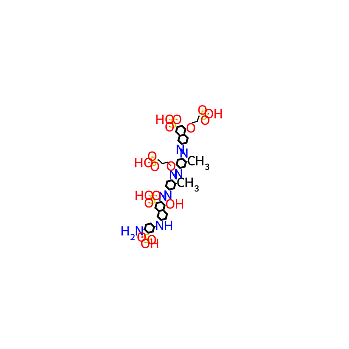 Cc1cc(N=Nc2ccc(N=Nc3c(S(=O)(=O)O)cc4cc(Nc5ccc(N)c(S(=O)(=O)O)c5)ccc4c3O)cc2C)c(OCCCS(=O)(=O)O)cc1N=Nc1ccc2c(OCCCS(=O)(=O)O)cc(S(=O)(=O)O)cc2c1